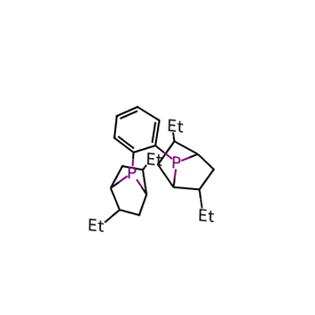 CCC1CC2C(CC)CC1P2c1ccccc1P1C2CC(CC)C1CC2CC